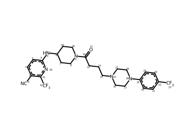 N#Cc1ccc(NC2CCN(C(=O)CCCN3CCN(c4ccc(C(F)(F)F)cc4)CC3)CC2)nc1C(F)(F)F